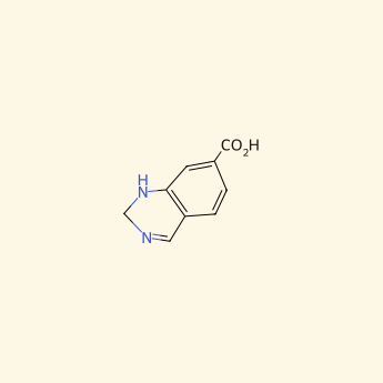 O=C(O)c1ccc2c(c1)NCN=C2